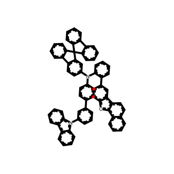 c1cc(-c2ccc(N(c3ccc4c(c3)C3(c5ccccc5-c5ccccc53)c3ccccc3-4)c3ccccc3-c3ccc4oc5c6ccccc6ccc5c4c3)cc2)cc(-n2c3ccccc3c3ccccc32)c1